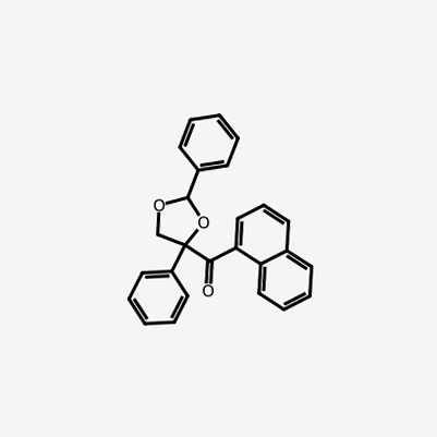 O=C(c1cccc2ccccc12)C1(c2ccccc2)COC(c2ccccc2)O1